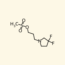 CS(=O)(=O)OCCCN1CCC(F)(F)C1